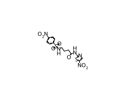 O=C(CCCNS(=O)(=O)c1ccc([N+](=O)[O-])cc1)Nc1ncc([N+](=O)[O-])s1